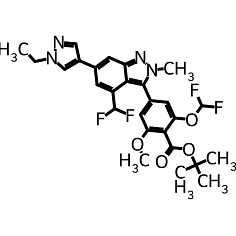 CCn1cc(-c2cc(C(F)F)c3c(-c4cc(OC)c(C(=O)OC(C)(C)C)c(OC(F)F)c4)n(C)nc3c2)cn1